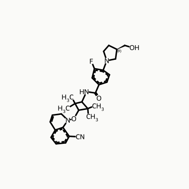 CC1(C)C(NC(=O)c2ccc(N3CC[C@@H](CO)C3)c(F)c2)C(C)(C)C1ON1CC=Cc2cccc(C#N)c21